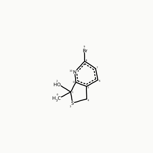 CC1(O)SCc2ccc(Br)nc21